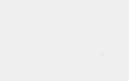 COCOc1cc2cc(C)ccc2cc1C=O